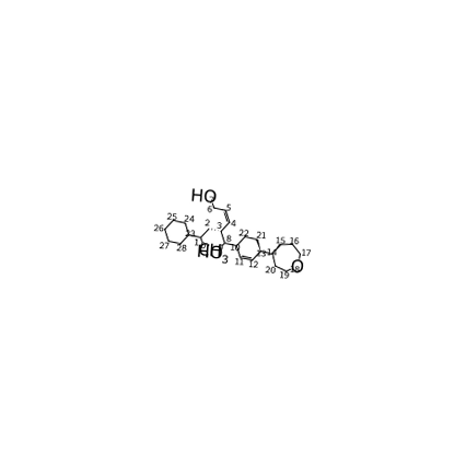 CC(C[C@H](/C=C\CO)C(O)C1C=C[C@H]([C@H]2CCCOCC2)CC1)C1CCCCC1